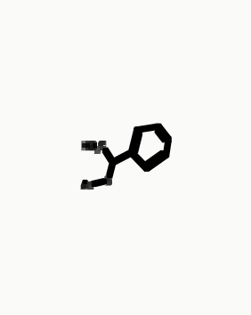 CC(=O)SC(C(=O)O)c1ccccc1